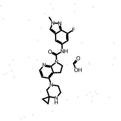 Cn1cc2cc(NC(=O)N3CCc4c(N5CCNC6(CC6)C5)ccnc43)cc(F)c2n1.O=CO